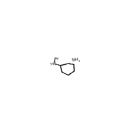 CC(C)NC1CCCCC1.[SiH4]